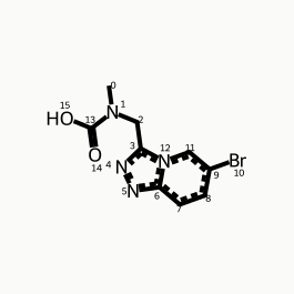 CN(Cc1nnc2ccc(Br)cn12)C(=O)O